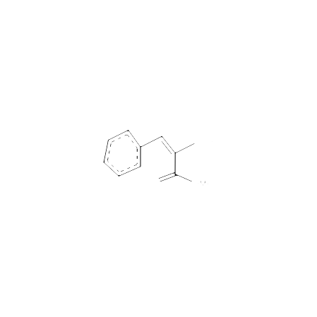 COC(=O)C(C=O)=Cc1ccccc1